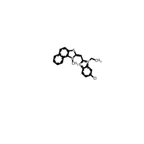 CC[n+]1c(C=C2Sc3ccc4ccccc4c3N2C)sc2ccc(Cl)cc21